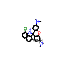 CN(C)c1ccc2c(c1)Oc1cc(N(C)C)ccc1C2(Nc1ccccc1Cl)c1ccccc1C(=O)O